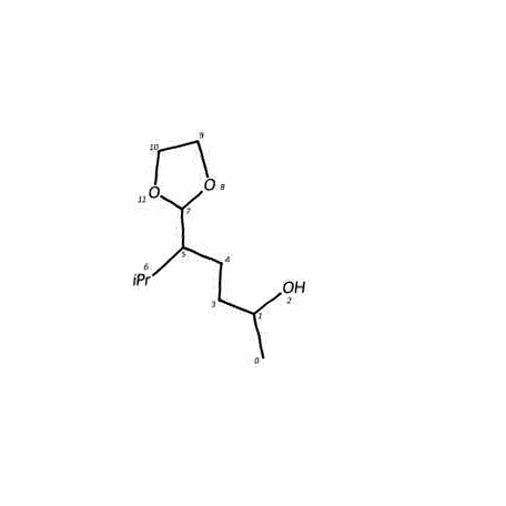 CC(O)CCC(C(C)C)C1OCCO1